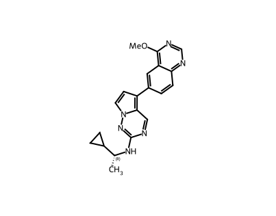 COc1ncnc2ccc(-c3ccn4nc(N[C@H](C)C5CC5)ncc34)cc12